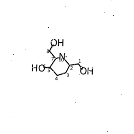 OCC1CCC(O)C(CO)[N]1